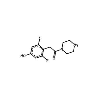 O=C(Cc1c(F)cc(O)cc1F)N1CCNCC1